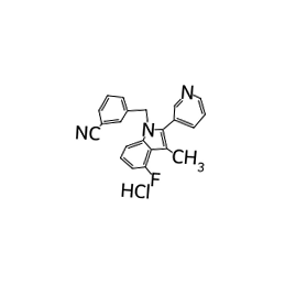 Cc1c(-c2cccnc2)n(Cc2cccc(C#N)c2)c2cccc(F)c12.Cl